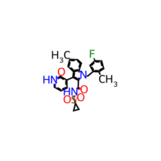 Cc1ccc2c(c1)c(-c1ccc[nH]c1=O)c(C(=O)NS(=O)(=O)C1CC1)n2Cc1cc(F)ccc1C